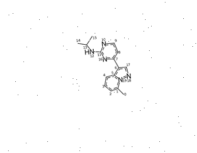 Cc1cccc2c(-c3ccnc(NC(C)C)n3)cnn12